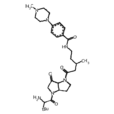 CC(CCNC(=O)c1ccc(N2CCN(C)CC2)cc1)CC(=O)N1CCC2C1C(=O)CN2C(=O)C(N)C(C)(C)C